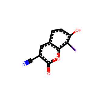 N#Cc1cc2ccc(O)c(I)c2oc1=O